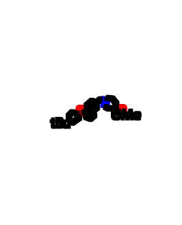 COC(=O)C1CCCN(Cc2ccc3c(O[C@H]4CC[C@H](C(C)(C)C)CC4)cccc3c2)CC1